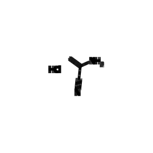 C=C(N)C#N.Cl